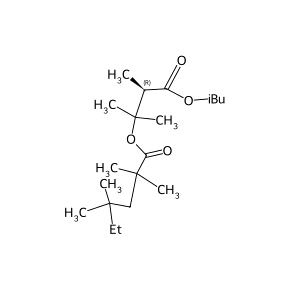 CCC(C)OC(=O)[C@H](C)C(C)(C)OC(=O)C(C)(C)CC(C)(C)CC